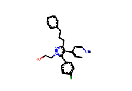 C=N/C=C\C(=C/C)c1c(CCCc2ccccc2)nn(CCO)c1-c1ccc(F)cc1